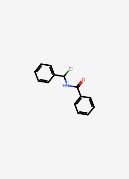 O=C(NC(Cl)c1ccccc1)c1ccccc1